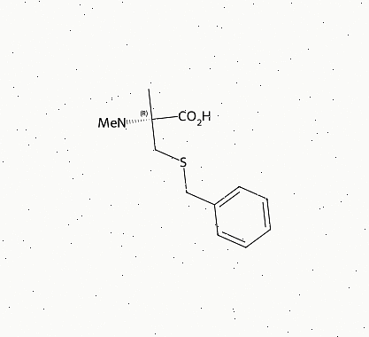 CN[C@@](C)(CSCc1ccccc1)C(=O)O